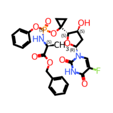 C[C@H](N[P@](=O)(Oc1ccccc1)OC1([C@H]2O[C@@H](n3cc(F)c(=O)[nH]c3=O)C[C@@H]2O)CC1)C(=O)OCc1ccccc1